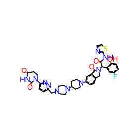 O=C1CCN(c2ccc(CN3CCN(C4CCN(c5ccc6c(c5)C(=O)N(C(C(=O)Nc5nccs5)c5cc(F)ccc5O)C6)CC4)CC3)nn2)C(=O)N1